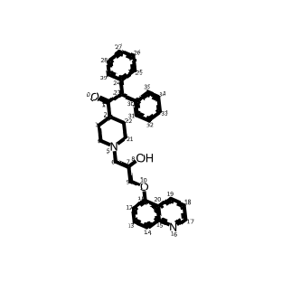 O=C(C1CCN(CC(O)COc2cccc3ncccc23)CC1)C(c1ccccc1)c1ccccc1